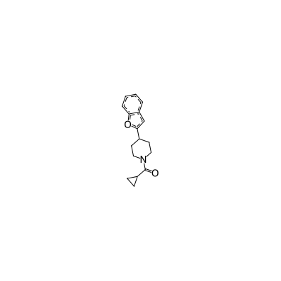 O=C(C1CC1)N1CCC(c2cc3ccccc3o2)CC1